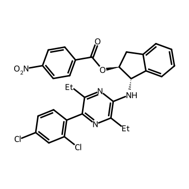 CCc1nc(-c2ccc(Cl)cc2Cl)c(CC)nc1N[C@H]1c2ccccc2C[C@@H]1OC(=O)c1ccc([N+](=O)[O-])cc1